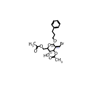 CC(=O)OCC1O[C@H](OCCCc2ccccc2)/C(=C\Br)C(OC(C)=O)[C@@H]1O